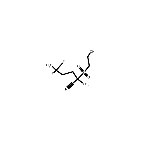 CC(F)(F)CCC(C)(C#N)S(=O)(=O)CCO